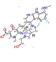 CNc1cc(F)c(F)c2c1[nH]c1ncc(-c3cnc4c(c3)c(=O)c(C(=O)O)cn4C)c(N3CC[C@H]4CN(CCO)C[C@H]43)c12